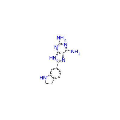 Nc1nc(N)c2nc(-c3ccc4c(c3)NCC4)[nH]c2n1